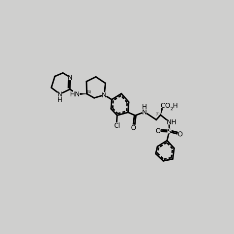 O=C(NC[C@H](NS(=O)(=O)c1ccccc1)C(=O)O)c1ccc(N2CCC[C@H](NC3=NCCCN3)C2)cc1Cl